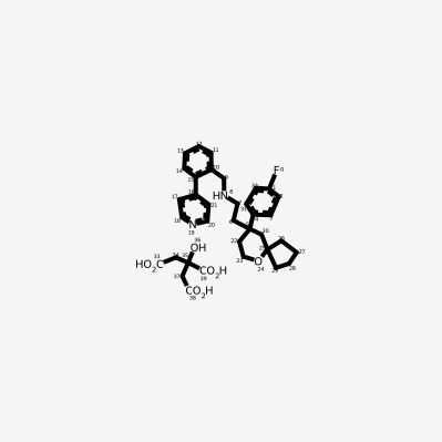 Fc1ccc(C2(CCNCc3ccccc3-c3ccncc3)CCOC3(CCCC3)C2)cc1.O=C(O)CC(O)(CC(=O)O)C(=O)O